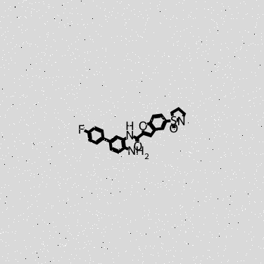 Nc1ccc(-c2ccc(F)cc2)cc1NC(=O)c1cc2cc(S3(=O)=NCCC3)ccc2o1